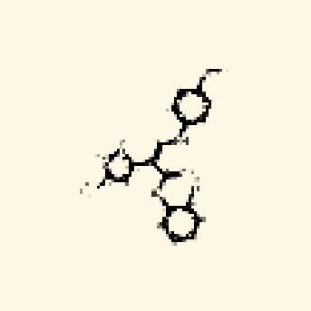 CCOc1ccc(N/C=C(\C(=O)Nc2ccccc2Cl)c2cc(C)no2)cc1